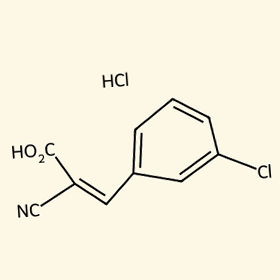 Cl.N#CC(=Cc1cccc(Cl)c1)C(=O)O